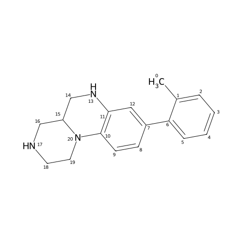 Cc1ccccc1-c1ccc2c(c1)NCC1CNCCN21